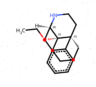 CCO[C@@]12CCCC[C@@]13CCN[C@@H]2Cc1ccccc13